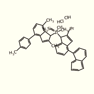 CC1=Cc2c(-c3ccc(C)cc3)ccc(C)c2[CH]1[Zr]([CH3])([CH3])(=[SiH2])[CH]1C(C(C)C)=Cc2c(-c3cccc4ccccc34)cccc21.Cl.Cl